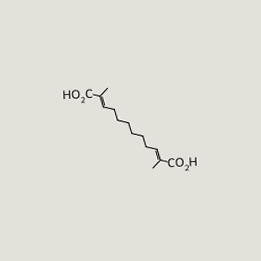 C/C(=C\CCCCCC/C=C(\C)C(=O)O)C(=O)O